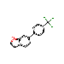 FC(F)(F)c1ccc(-c2ccc3ccoc3c2)cc1